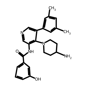 Cc1cc(C)cc(-c2cncc(NC(=O)c3cccc(O)c3)c2N2CCC(N)CC2)c1